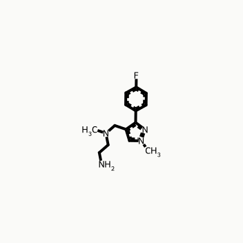 CN(CCN)Cc1cn(C)nc1-c1ccc(F)cc1